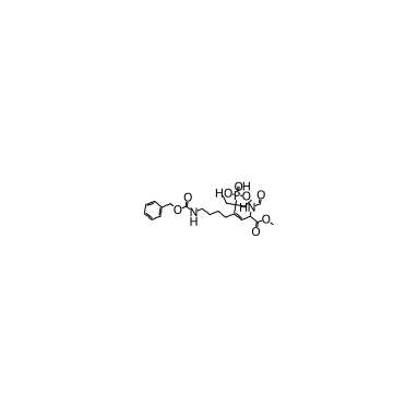 CCC(CC)(C(=CC(NC=O)C(=O)OC)CCCCNC(=O)OCc1ccccc1)P(=O)(O)O